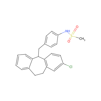 CS(=O)(=O)Nc1ccc(CC2c3ccccc3CCc3cc(Cl)ccc32)cc1